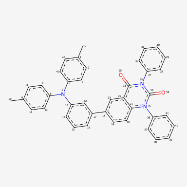 Cc1ccc(N(c2ccc(C)cc2)c2cccc(-c3ccc4c(c3)c(=O)n(-c3ccccc3)c(=O)n4-c3ccccc3)c2)cc1